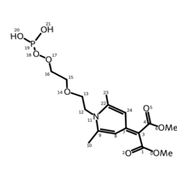 COC(=O)C(C(=O)OC)=C1C=C(C)N(CCOCCOOP(O)O)C(C)=C1